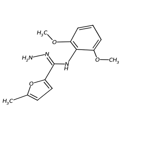 COc1cccc(OC)c1N/C(=N/N)c1ccc(C)o1